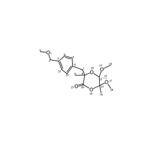 COCc1ccc(CC2(C)O[C@@](C)(OC)C(C)(OC)OC2=O)cc1